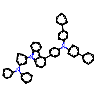 c1ccc(-c2ccc(N(c3ccc(-c4ccccc4)cc3)c3ccc(-c4cccc5c4c4ccccc4n5-c4cccc(N(c5ccccc5)c5ccccc5)c4)cc3)cc2)cc1